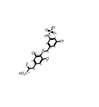 CCS(=O)(=O)Nc1cc(Cl)cc(COc2c(Cl)cc(CC(F)C(=O)O)cc2Cl)c1